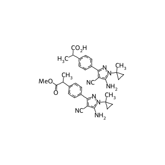 CC(C(=O)O)c1ccc(-c2nn(C3(C)CC3)c(N)c2C#N)cc1.COC(=O)C(C)c1ccc(-c2nn(C3(C)CC3)c(N)c2C#N)cc1